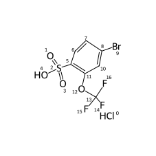 Cl.O=S(=O)(O)c1ccc(Br)cc1OC(F)(F)F